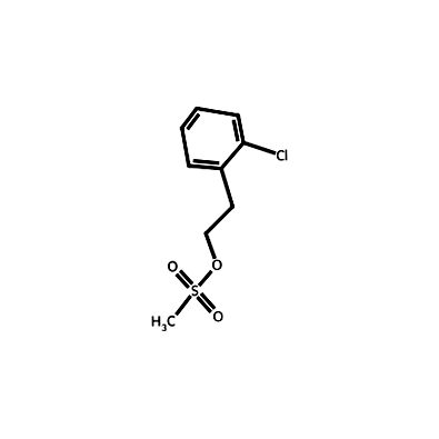 CS(=O)(=O)OCCc1ccccc1Cl